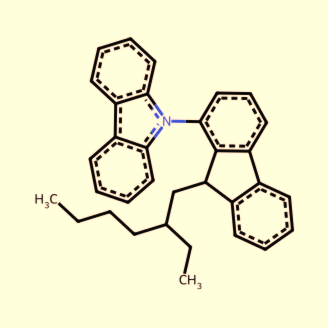 CCCCC(CC)CC1c2ccccc2-c2cccc(-n3c4ccccc4c4ccccc43)c21